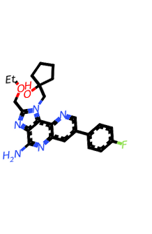 CCOCc1nc2c(N)nc3cc(-c4ccc(F)cc4)cnc3c2n1CC1(O)CCCC1